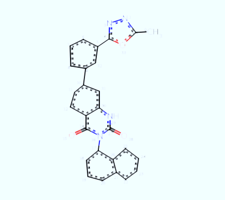 Cc1nnc(-c2cccc(-c3ccc4c(=O)n(-c5cccc6ccccc56)c(=O)[nH]c4c3)c2)o1